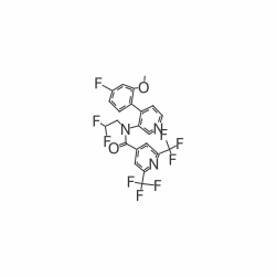 COc1cc(F)ccc1-c1ccncc1N(CC(F)F)C(=O)c1cc(C(F)(F)F)nc(C(F)(F)F)c1